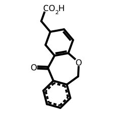 O=C(O)CC1C=CC2=C(C1)C(=O)c1ccccc1CO2